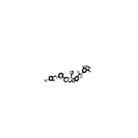 Cc1n[nH]c2c(C)cc(NC(=O)c3ccc4nc(CN5CC=C(c6cccc(OCc7ccc(C#N)cc7F)n6)CC5)n(CC5CCO5)c4c3)cc12